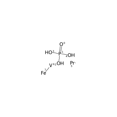 O=P(O)(O)O.[Pr].[V][Fe]